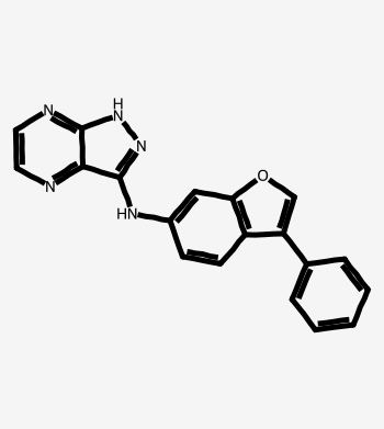 c1ccc(-c2coc3cc(Nc4n[nH]c5nccnc45)ccc23)cc1